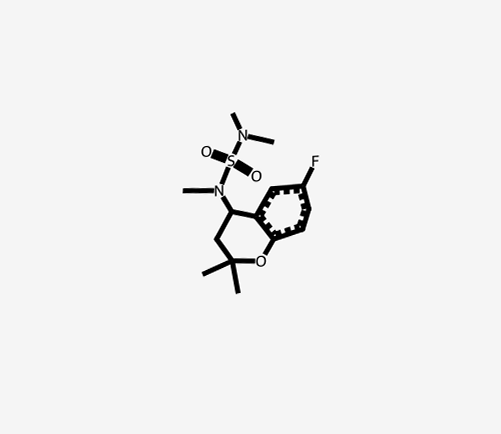 CN(C)S(=O)(=O)N(C)C1CC(C)(C)Oc2ccc(F)cc21